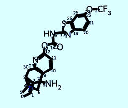 C/C=C1\C2=C(C)CC1(N)c1ccc(OC(=O)Nc3nc4ccc(OC(F)(F)F)cc4s3)nc1C2